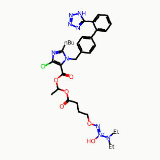 CCCCc1nc(Cl)c(C(=O)OC(C)OC(=O)CCCO/N=[N+](\O)N(CC)CC)n1Cc1ccc(-c2ccccc2-c2nnn[nH]2)cc1